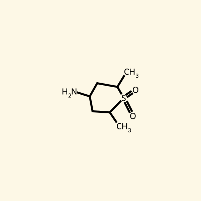 CC1CC(N)CC(C)S1(=O)=O